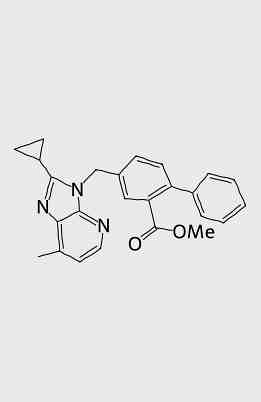 COC(=O)c1cc(Cn2c(C3CC3)nc3c(C)ccnc32)ccc1-c1ccccc1